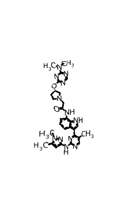 Cc1cnc(Nc2cc(C)n(C)n2)nc1-c1c[nH]c2c(NC(=O)CN3CC[C@H](Oc4ncnc(N(C)C)n4)C3)cccc12